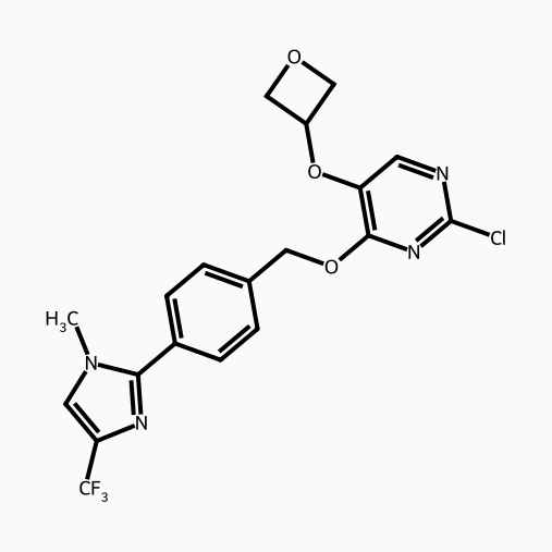 Cn1cc(C(F)(F)F)nc1-c1ccc(COc2nc(Cl)ncc2OC2COC2)cc1